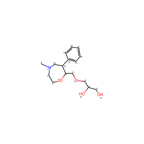 CN1CCOC(COCC(O)CO)C(c2ccccc2)C1